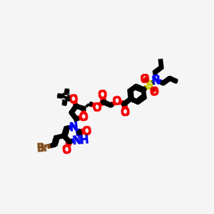 CCCN(CCC)S(=O)(=O)c1ccc(C(=O)OCC(=O)OC[C@@H]2O[C@H](n3cc(/C=C/Br)c(=O)[nH]c3=O)CC2O[Si](C)(C)C)cc1